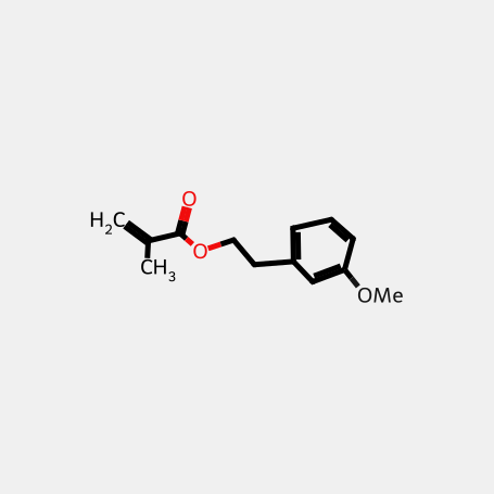 C=C(C)C(=O)OCCc1cccc(OC)c1